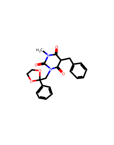 CN1C(=O)C(Cc2ccccc2)C(=O)N(CC2(c3ccccc3)OCCO2)C1=O